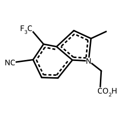 Cc1cc2c(C(F)(F)F)c(C#N)ccc2n1CC(=O)O